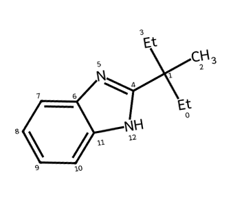 CCC(C)(CC)c1nc2ccccc2[nH]1